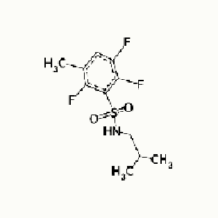 Cc1cc(F)c(F)c(S(=O)(=O)NCC(C)C)c1F